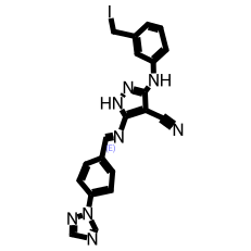 N#Cc1c(Nc2cccc(CI)c2)n[nH]c1/N=C/c1ccc(-n2cncn2)cc1